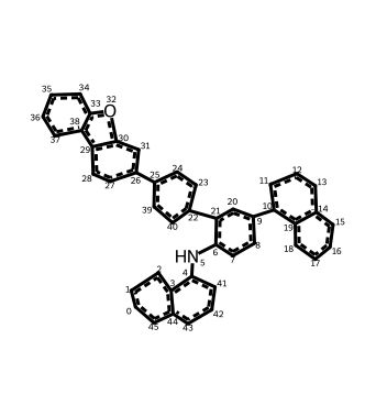 c1ccc2c(Nc3ccc(-c4cccc5ccccc45)cc3-c3ccc(-c4ccc5c(c4)oc4ccccc45)cc3)cccc2c1